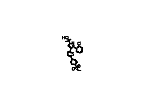 CCS(=O)(=O)c1ccc(-c2ccc(-c3cc(C(C)(C)O)nn3-c3ccccc3Cl)s2)cc1